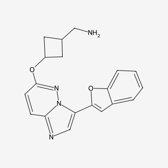 NCC1CC(Oc2ccc3ncc(-c4cc5ccccc5o4)n3n2)C1